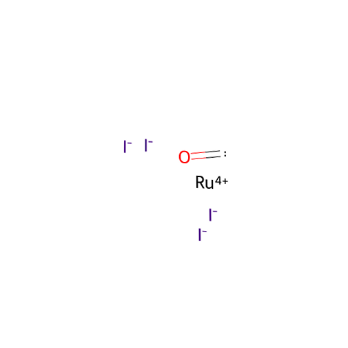 [C]=O.[I-].[I-].[I-].[I-].[Ru+4]